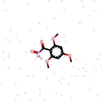 COc1cc(OC)c(C(=O)[PH2]=O)c(OC)c1